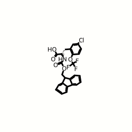 O=C(N[C@@H](Cc1cc(Cl)ccc1OC(F)(F)F)C(=O)O)OCC1c2ccccc2-c2ccccc21